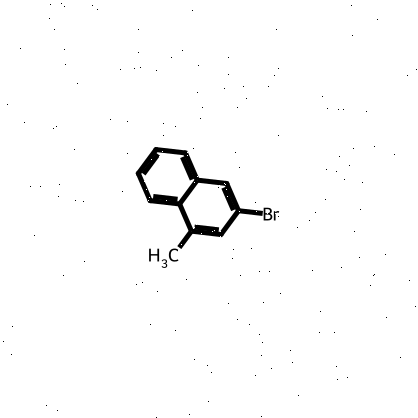 Cc1cc(Br)cc2ccccc12